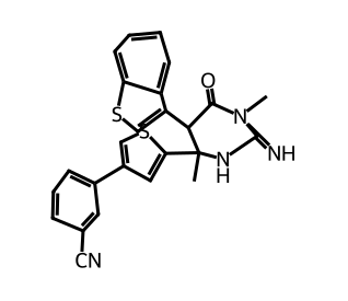 CN1C(=N)NC(C)(c2cc(-c3cccc(C#N)c3)cs2)C(c2csc3ccccc23)C1=O